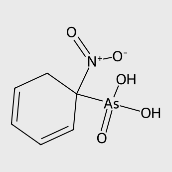 O=[N+]([O-])C1([As](=O)(O)O)C=CC=CC1